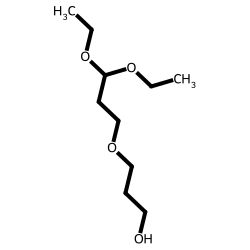 CCOC(CCOCCCO)OCC